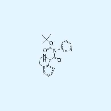 CC(C)(C)OC(=O)N(C(=O)C1NCCc2ccccc21)c1[c]cccc1